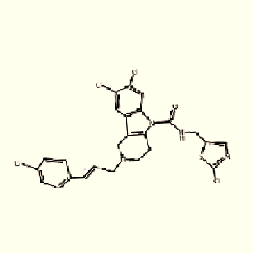 O=C(NCc1cnc(Cl)s1)n1c2c(c3cc(Cl)c(Cl)cc31)CN(C/C=C/c1ccc(Cl)cc1)CC2